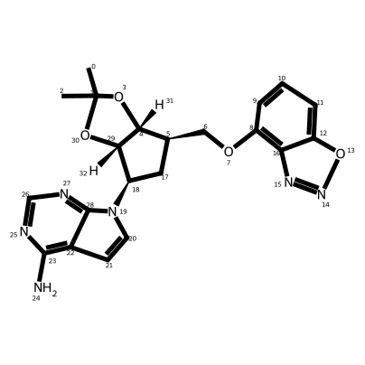 CC1(C)O[C@@H]2[C@@H](COc3cccc4onnc34)C[C@@H](n3ccc4c(N)ncnc43)[C@@H]2O1